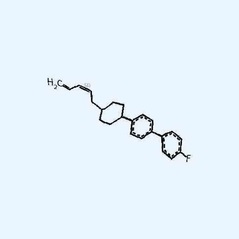 C=C/C=C\CC1CCC(c2ccc(-c3ccc(F)cc3)cc2)CC1